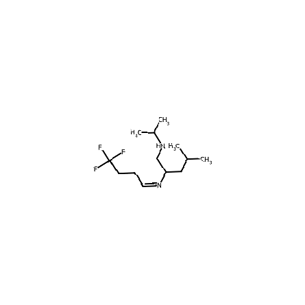 CC(C)CC(CNC(C)C)/N=C\CCC(F)(F)F